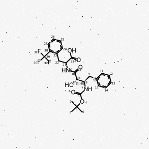 CC(C)(C)OC(=O)N[C@H](Cc1ccccc1)[C@H](O)C(=O)NC(Cc1ccccc1C(F)(F)F)C(=O)O